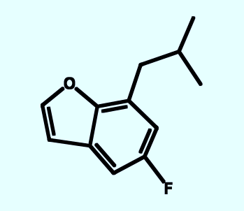 CC(C)Cc1cc(F)cc2ccoc12